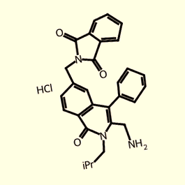 CC(C)Cn1c(CN)c(-c2ccccc2)c2cc(CN3C(=O)c4ccccc4C3=O)ccc2c1=O.Cl